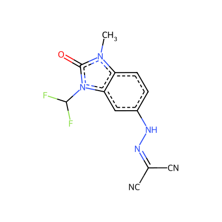 Cn1c(=O)n(C(F)F)c2cc(NN=C(C#N)C#N)ccc21